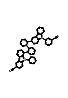 N#Cc1cccc(-n2c3ccccc3c3cc(-c4ccccc4-c4ccccc4-c4cccc5c6cc(C#N)ccc6n(-c6ccccc6)c45)ccc32)c1